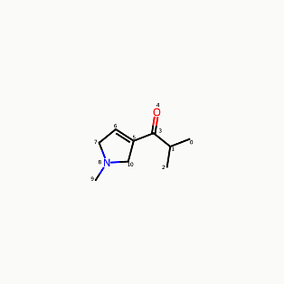 CC(C)C(=O)C1=CCN(C)C1